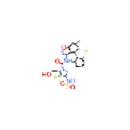 Cc1cc(-c2c(F)cccc2F)c2c(NC(=O)N3C[C@@H](NS(C)(=O)=O)C(F)(F)[C@H]3CO)noc2c1